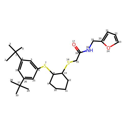 CC(C)(C)c1cc(SC2CCCCC2SCC(=O)NCc2ccco2)cc(C(C)(C)C)c1